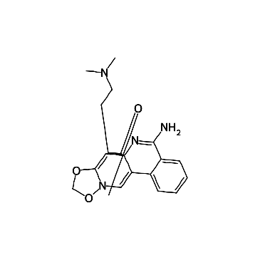 CN(C)CCC1CC2=C3OCON3C=C3c4ccccc4C(N)=NC32CC1=O